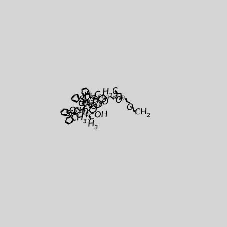 C=CCOCC=C[C@H]1CC(=C)[C@H](CC[C@H]2C[C@@H](C)C(=C)[C@@H](CC3OC4CC(O[Si](c5ccccc5)(c5ccccc5)C(C)(C)C)C(CCO[Si](c5ccccc5)(c5ccccc5)C(C)(C)C)OC4C(C)C3O)O2)O1